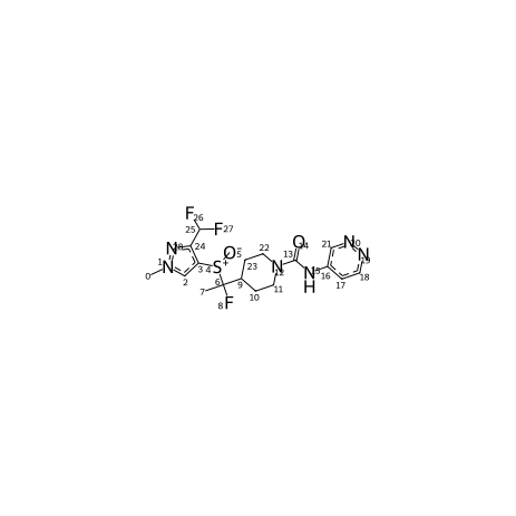 Cn1cc([S+]([O-])C(C)(F)C2CCN(C(=O)Nc3ccnnc3)CC2)c(C(F)F)n1